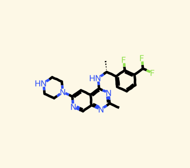 Cc1nc(N[C@H](C)c2cccc(C(F)F)c2F)c2cc(N3CCNCC3)ncc2n1